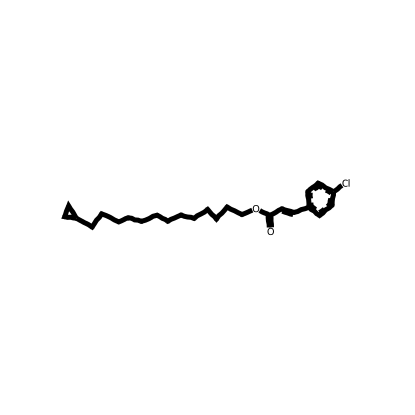 O=C(C=Cc1ccc(Cl)cc1)OCCCCCCCCCCCCCC1CC1